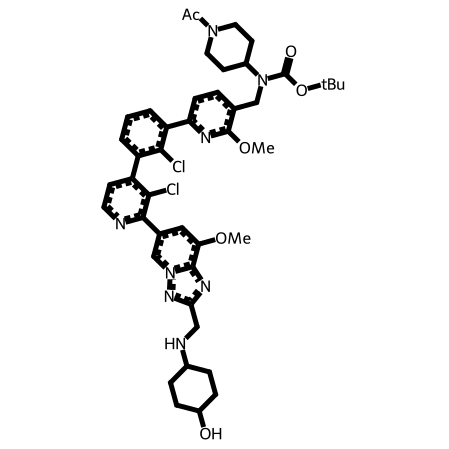 COc1nc(-c2cccc(-c3ccnc(-c4cc(OC)c5nc(CNC6CCC(O)CC6)nn5c4)c3Cl)c2Cl)ccc1CN(C(=O)OC(C)(C)C)C1CCN(C(C)=O)CC1